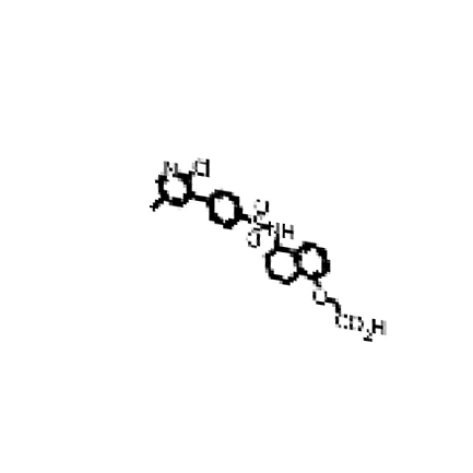 Cc1cnc(Cl)c(-c2ccc(S(=O)(=O)NC3CCCc4c(OCC(=O)O)cccc43)cc2)c1